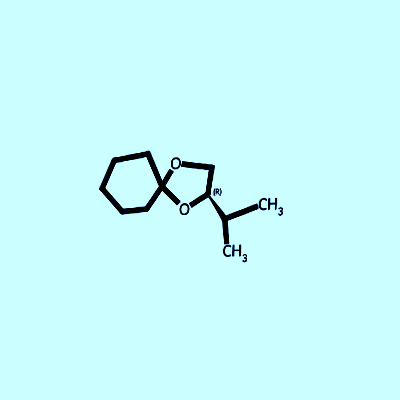 CC(C)[C@@H]1COC2(CCCCC2)O1